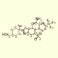 [2H]C1(n2cc3cc(-c4ccc(C(F)(F)F)nc4C(N)=O)c(S(C)(=O)=O)cc3n2)CCC(CO)CC1